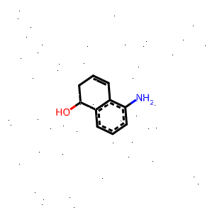 Nc1cccc2c1C=CC[C]2O